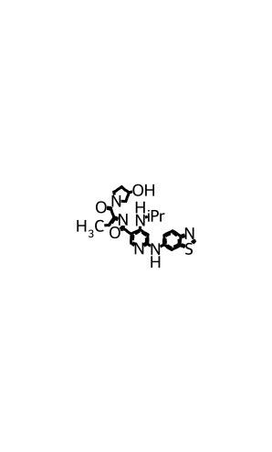 Cc1oc(-c2cnc(Nc3ccc4ncsc4c3)cc2NC(C)C)nc1C(=O)N1CCC(O)C1